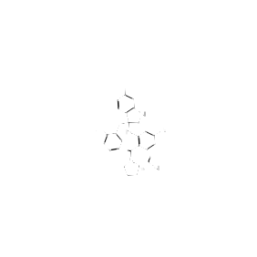 Cc1ccccc1CC1(Nc2cc(Br)ccc2C(=O)N2CCC[C@H]2C(N)=O)C(=O)Nc2cc(Cl)ccc21